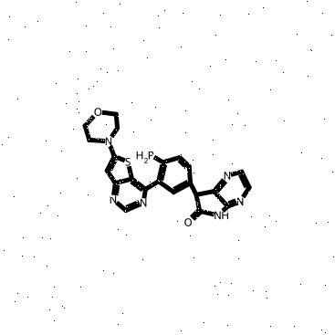 O=C1Nc2nccnc2C1c1ccc(P)c(-c2ncnc3cc(N4CCOCC4)sc23)c1